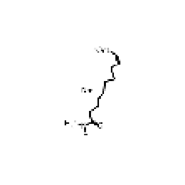 CCCCCCCC/C=C\CCCCCCCC(=O)N(C)CC.[Na]